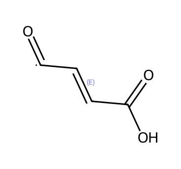 O=[C]/C=C/C(=O)O